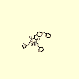 O=C1C(=CN2CCN(Cc3ccccc3)CC2)C(=O)N(CCc2cccs2)S(=O)(=O)N1CCc1cccs1